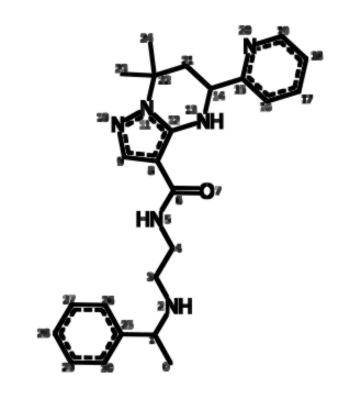 CC(NCCNC(=O)c1cnn2c1NC(c1ccccn1)CC2(C)C)c1ccccc1